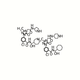 Cc1nn(-c2ccc(Cl)c(C(=O)NC(O)C3CCCCCC3)c2)c(=O)n1CC(=O)NC1CCNC1.Cc1nn(-c2ccc(Cl)c(C(=O)NC(O)C3CCCCCC3)c2)c(=O)n1CC(=O)NC1CCNCC1